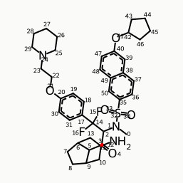 CN(C(C(=O)C1C2CCC1CC(N)C2)C(F)(F)c1ccc(OCCN2CCCCC2)cc1)S(=O)(=O)c1ccc2cc(OC3CCCC3)ccc2c1